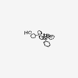 CC(C)(C)[Si](OC(=O)c1cccc(O)c1)(c1ccccc1)c1ccccc1